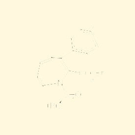 CCOC(=O)C1=C(c2ccccc2)C=CC=CN1[S@@+]([O-])C(C)(C)C